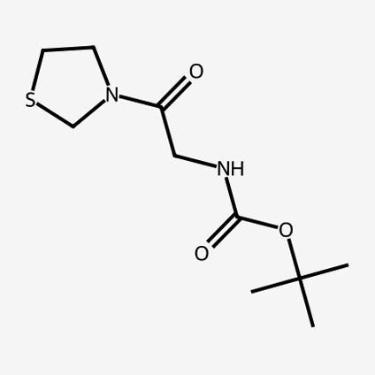 CC(C)(C)OC(=O)NCC(=O)N1CCSC1